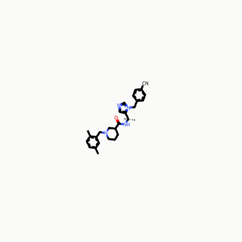 Cc1ccc(C)c(CN2CCCC(C(=O)N[C@@H](C)c3cncn3Cc3ccc(C#N)cc3)C2)c1